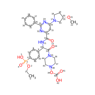 CCOP(=O)(O)c1ccc(C(NC(=O)c2cc(N3CC[C@H](OC)C3)nc(-c3ccccc3)n2)C(=O)N2CCN(OC(=O)O)CC2)cc1